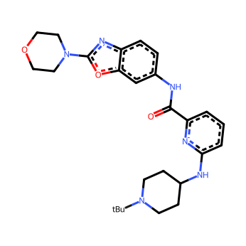 CC(C)(C)N1CCC(Nc2cccc(C(=O)Nc3ccc4nc(N5CCOCC5)oc4c3)n2)CC1